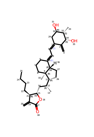 C=C1/C(=C\C=C2/CCC[C@]3(C)[C@@H]([C@H](C)C[C@@H]4OC(=O)C(=C)[C@H]4CCCC)CC[C@@H]23)C[C@@H](O)[C@H](C)[C@@H]1O